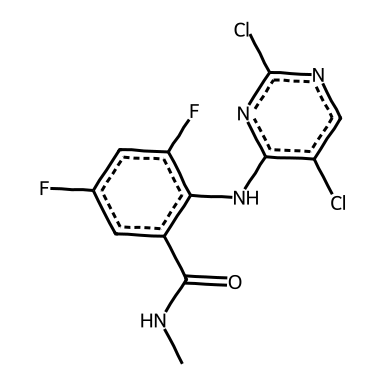 CNC(=O)c1cc(F)cc(F)c1Nc1nc(Cl)ncc1Cl